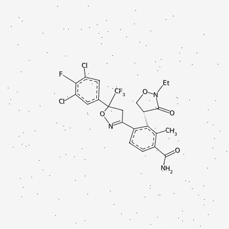 CCN1OC[C@@H](c2c(C3=NOC(c4cc(Cl)c(F)c(Cl)c4)(C(F)(F)F)C3)ccc(C(N)=O)c2C)C1=O